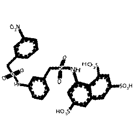 O=[N+]([O-])c1cccc(CS(=O)(=O)Nc2cccc(CS(=O)(=O)Nc3cc(S(=O)(=O)O)cc4cc(S(=O)(=O)O)cc(S(=O)(=O)O)c34)c2)c1